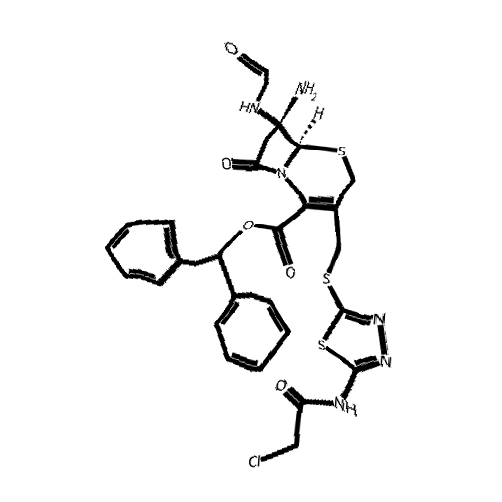 N[C@]1(NC=O)C(=O)N2C(C(=O)OC(c3ccccc3)c3ccccc3)=C(CSc3nnc(NC(=O)CCl)s3)CS[C@@H]21